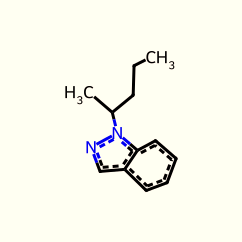 CCCC(C)n1ncc2ccccc21